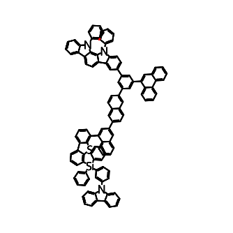 c1ccc(-n2c3ccccc3c3ccc4c5cc(-c6cc(-c7ccc8cc(-c9cc(-c%10cccc%11c%10sc%10c([Si](c%12ccccc%12)(c%12ccccc%12)c%12cccc(-n%13c%14ccccc%14c%14ccccc%14%13)c%12)cccc%10%11)c%10ccccc%10c9)ccc8c7)cc(-c7cc8ccccc8c8ccccc78)c6)ccc5n(-c5ccccc5)c4c32)cc1